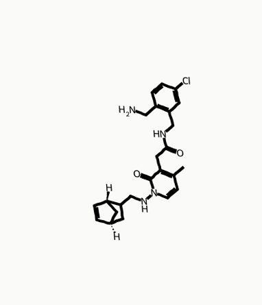 Cc1ccn(NCC2C[C@H]3C=C[C@H]2C3)c(=O)c1CC(=O)NCc1cc(Cl)ccc1CN